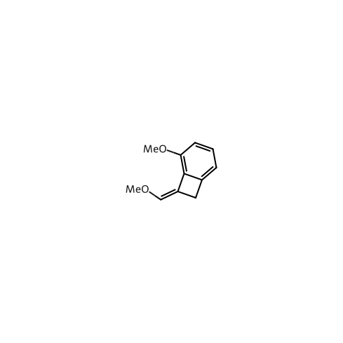 CO/C=C1/Cc2cccc(OC)c21